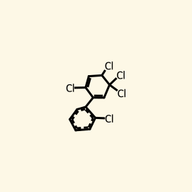 ClC1=CC(Cl)C(Cl)(Cl)C=C1c1ccccc1Cl